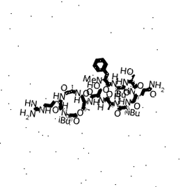 CC[C@@H](C)[C@@H](NC(=O)[C@@H](CCC(N)=O)NC(=O)[C@H](CO)NC(=O)[C@@H](NC(=O)[C@@H](Cc1ccccc1)NC)[C@@H](C)CC)C(=O)N[C@@H](C)C(=O)NC(CO)C(=O)N[C@H]1C(=O)N[C@@H](C)C(=O)N[C@@H](CCCNC(=N)N)C(=O)N[C@@H]([C@@H](C)CC)C(=O)O[C@H]1C